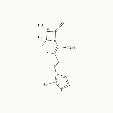 CCc1ncsc1SCC1=C(C(=O)O)N2C(=O)[C@@H](O)[C@@H]2SC1